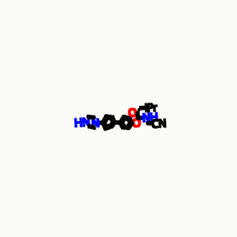 CC(C)C[C@@H](Oc1cccc(-c2ccc(N3CCNCC3)cc2)c1)C(=O)NCC#N